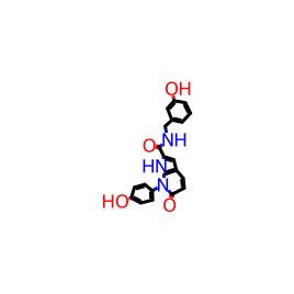 O=C(NCc1cccc(O)c1)c1cc2ccc(=O)n(-c3ccc(O)cc3)c2[nH]1